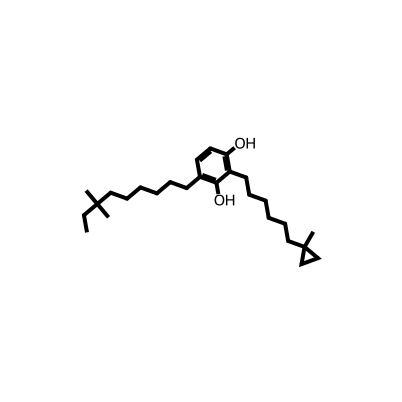 CCC(C)(C)CCCCCCc1ccc(O)c(CCCCCCC2(C)CC2)c1O